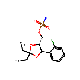 CCC1(CC)O[C@H](c2ccccc2F)[C@@H](COS(N)(=O)=O)O1